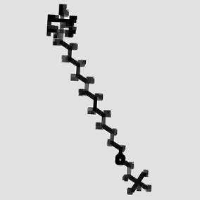 CC(C)(C)CCOCCCCCCCCCCCCCCC(F)(F)C(F)(F)F